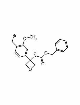 COc1cc(C2(NC(=O)OCc3ccccc3)COC2)ccc1CBr